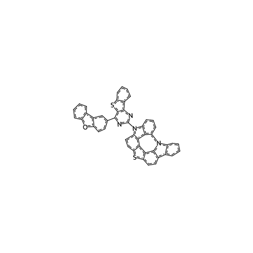 c1ccc2c(c1)oc1ccc(-c3nc(-n4c5ccc6sc7ccc8c9ccccc9n9c%10cccc4c%10c5c6c7c89)nc4c3sc3ccccc34)cc12